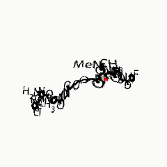 CN[C@H](C)C(=O)N[C@@H](C(=O)N1CCC[C@@H]1C1=NC(C(=O)c2ccc(F)cc2)CS1)C1CCN(C(=O)CCOCCOCCC(=O)N2CCN(C(=O)c3ccc(NC(=O)c4cnc(N)c(O[C@H](C)c5c(F)ccc(Cl)c5F)c4)cc3)CC2)CC1